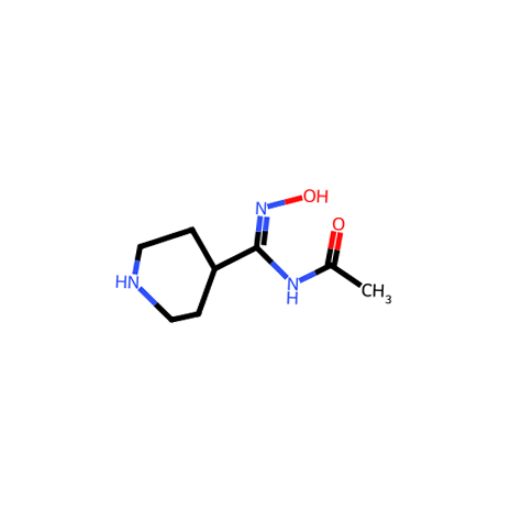 CC(=O)NC(=NO)C1CCNCC1